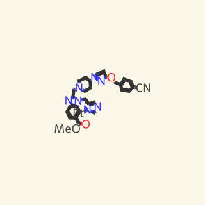 CCn1cncc1Cn1c(CN2CCC(n3ccc(OCc4ccc(C#N)cc4)n3)CC2)nc2ccc(C(=O)OC)cc21